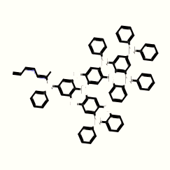 C=C/C=C\C=C(/C)N(c1ccccc1)c1cc2c3c(c1)Oc1cc4c(cc1B3c1cc3c(cc1O2)N(c1ccccc1)c1ccccc1S3)B1c2ccccc2N(c2ccccc2)c2cc(N(c3ccccc3)c3ccccc3)cc(c21)N4c1ccccc1